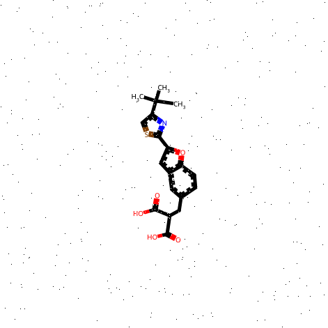 CC(C)(C)c1csc(-c2cc3cc(CC(C(=O)O)C(=O)O)ccc3o2)n1